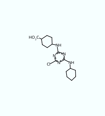 O=C(O)C1CCC(Nc2nc(Cl)nc(NC3CCCCC3)n2)CC1